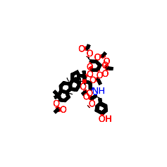 COC(=O)[C@@H](Cc1ccc(O)cc1)NCCCC(C)(O[C@H]1O[C@H](COC(C)=O)[C@@H](OC(C)=O)[C@H](OC(C)=O)C1OC(C)=O)C1CC[C@]2(C)[C@@H]1C(OC(C)=O)CC1[C@@]3(C)CC[C@H](OC(C)=O)C(C)(C)C3CC[C@]12C